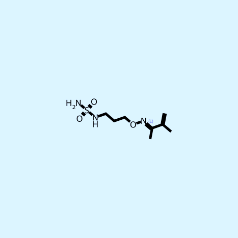 C=C(C)/C(C)=N/OCCCNS(N)(=O)=O